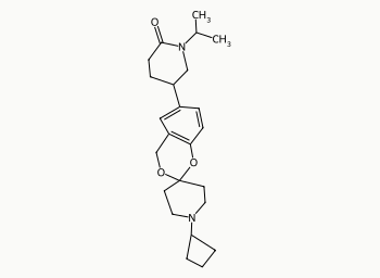 CC(C)N1CC(c2ccc3c(c2)COC2(CCN(C4CCC4)CC2)O3)CCC1=O